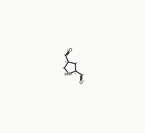 O=CC1CNC(C=O)C1